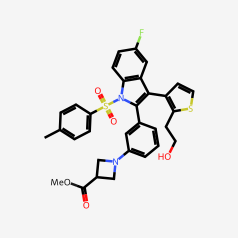 COC(=O)C1CN(c2cccc(-c3c(-c4ccsc4CCO)c4cc(F)ccc4n3S(=O)(=O)c3ccc(C)cc3)c2)C1